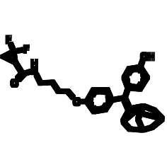 O=C(NCCCCOc1ccc(C(=C2C3CC4CC(C3)CC2C4)c2ccc(O)cc2)cc1)C1CC1(F)F